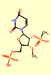 CO[C@H]1[C@@H](OP(C)(=O)O)[C@H](n2ccc(=O)[nH]c2=O)O[C@@H]1COP(=O)(O)O